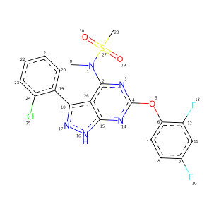 CN(c1nc(Oc2ccc(F)cc2F)nc2[nH]nc(-c3ccccc3Cl)c12)S(C)(=O)=O